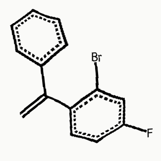 C=C(c1ccccc1)c1ccc(F)cc1Br